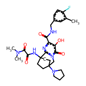 Cc1cc(CNC(=O)c2nc3n(c(=O)c2O)CC2(N4CCCC4)CCC3(NC(=O)C(=O)N(C)C)CC2)ccc1F